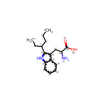 CCCC(CC)c1[nH]c2ccccc2c1CC(N)C(=O)O